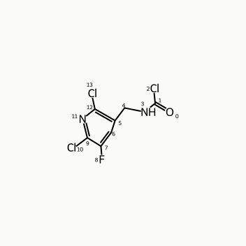 O=C(Cl)NCc1cc(F)c(Cl)nc1Cl